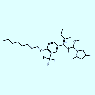 CCCCCCCCOc1ccc(/C(NC(OC)C2CC(F)CN2C)=C(/C)CC)cc1C(F)(F)F